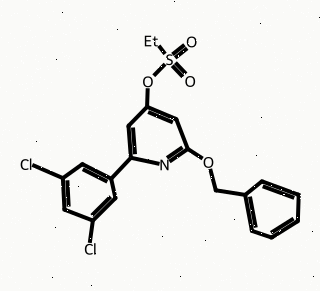 CCS(=O)(=O)Oc1cc(OCc2ccccc2)nc(-c2cc(Cl)cc(Cl)c2)c1